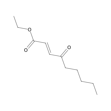 CCCCCC(=O)/C=C/C(=O)OCC